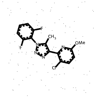 COc1ccc(Cl)c(-c2nnn(-c3c(F)cccc3F)c2C)n1